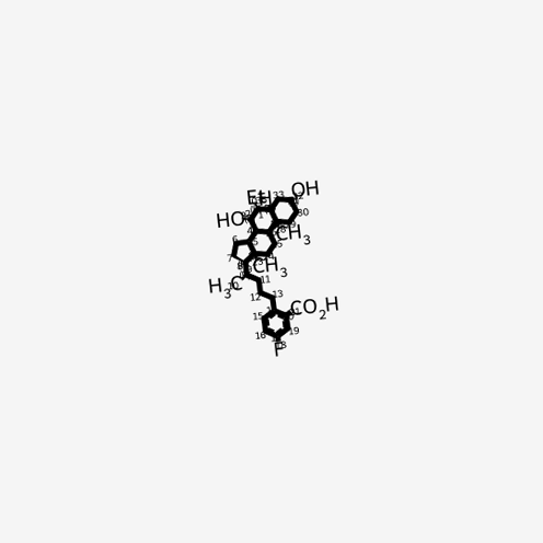 CC[C@H]1[C@@H](O)C2C3CC[C@H]([C@H](C)CCCc4ccc(F)cc4C(=O)O)[C@@]3(C)CCC2[C@@]2(C)CC[C@@H](O)C[C@@H]12